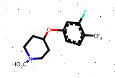 O=C(O)N1CCC(Oc2ccc(C(F)(F)F)c(F)c2)CC1